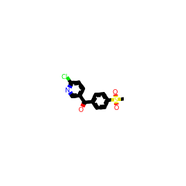 CS(=O)(=O)c1ccc(C(=O)c2ccc(Cl)nc2)cc1